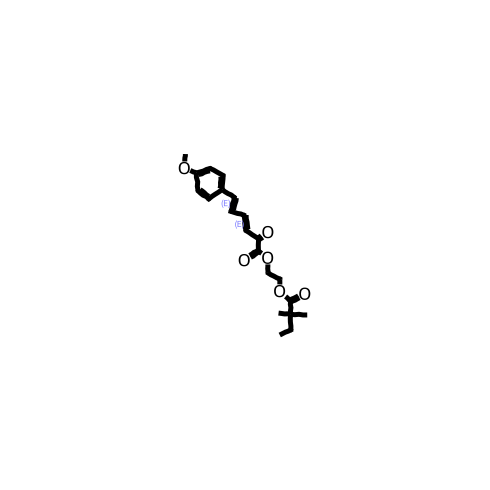 CCC(C)(C)C(=O)OCCOC(=O)C(=O)/C=C/C=C/c1ccc(OC)cc1